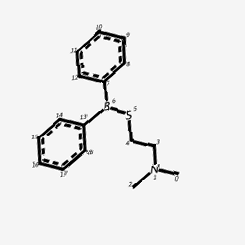 CN(C)CCSB(c1ccccc1)c1ccccc1